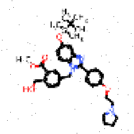 COC(=O)c1cc(Cn2c(-c3ccc(OCCN4CCCC4)cc3)nc3cc(O[Si](C)(C)C(C)(C)C)ccc32)ccc1CO